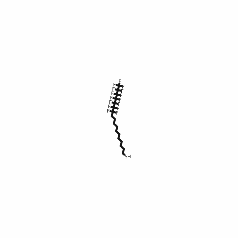 FC(F)(F)C(F)(F)C(F)(F)C(F)(F)C(F)(F)C(F)(F)C(F)(F)CCCCCCCCCCCS